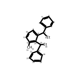 CCC(c1ccccc1)c1cccc(C)c1C(CC)c1ccccc1